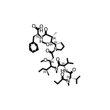 CCC(=O)N(C)[C@H](C(=O)N[C@H](C(=O)N(C)C([C@@H](C)CC)[C@@H](CC(=O)N1CCC[C@H]1[C@H](OC)[C@@H](C)C(=O)N[C@@H](Cc1ccccc1)C(=O)O)OC)C(C)C)C(C)C